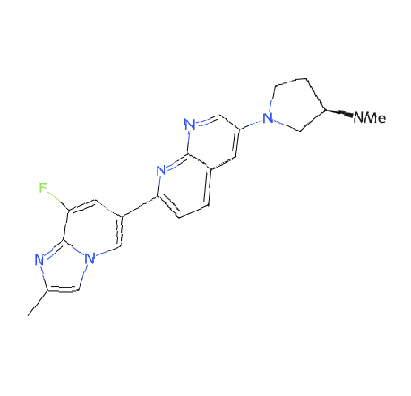 CN[C@@H]1CCN(c2cnc3nc(-c4cc(F)c5nc(C)cn5c4)ccc3c2)C1